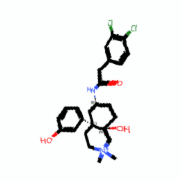 C[N+]1(C)CC[C@@]2(c3cccc(O)c3)C[C@H](NC(=O)Cc3ccc(Cl)c(Cl)c3)CC[C@]2(O)C1